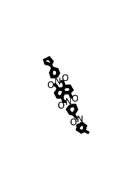 Cc1ccc2oc(-c3ccc(N4C(=O)c5ccc6c7c(ccc(c57)C4=O)C(=O)N(c4ccc(C5=CCC=C5)cc4)C6=O)cc3)nc2c1